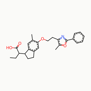 CCC(C(=O)O)C1CCc2cc(OCCc3nc(-c4ccccc4)oc3C)c(C)cc21